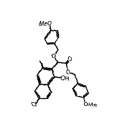 COc1ccc(COC(=O)C(OCc2ccc(OC)cc2)c2c(C)cc3cc(Cl)ccc3c2O)cc1